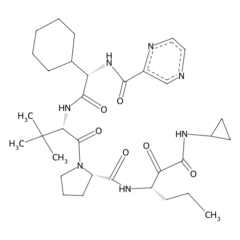 CCC[C@H](NC(=O)[C@@H]1CCCN1C(=O)[C@@H](NC(=O)[C@@H](NC(=O)c1cnccn1)C1CCCCC1)C(C)(C)C)C(=O)C(=O)NC1CC1